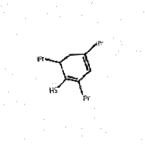 CC(C)C1=CC(C(C)C)=C(S)C(C(C)C)C1